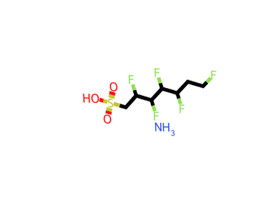 N.O=S(=O)(O)CC(F)C(F)C(F)C(F)CCF